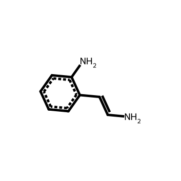 NC=Cc1ccccc1N